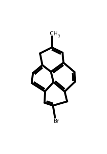 CC1=Cc2ccc3c4c(ccc(c24)C1)C=C(Br)C3